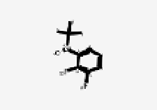 CC(C)(C)[S+]([O-])c1cccc(F)c1F